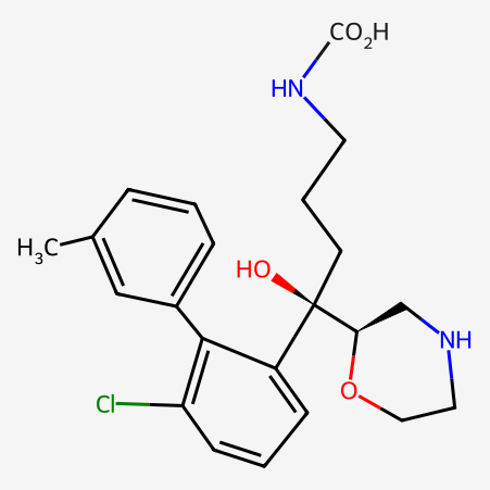 Cc1cccc(-c2c(Cl)cccc2[C@](O)(CCCNC(=O)O)[C@H]2CNCCO2)c1